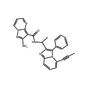 CC#Cc1cccc2nc(C(C)NC(=O)c3c(N)nn4cccnc34)c(-c3ccccc3)n12